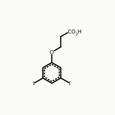 O=C(O)CCOc1cc(I)cc(I)c1